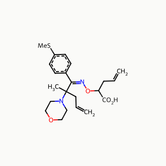 C=CCC(ON=C(c1ccc(SC)cc1)C(C)(CC=C)N1CCOCC1)C(=O)O